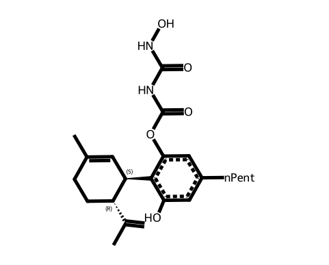 C=C(C)[C@@H]1CCC(C)=C[C@H]1c1c(O)cc(CCCCC)cc1OC(=O)NC(=O)NO